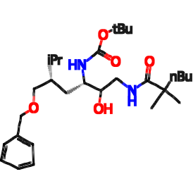 CCCCC(C)(C)C(=O)NCC(O)[C@H](C[C@H](COCc1ccccc1)C(C)C)NC(=O)OC(C)(C)C